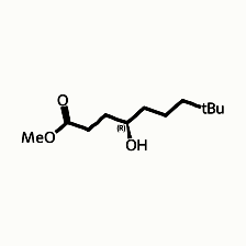 COC(=O)CC[C@H](O)CCCC(C)(C)C